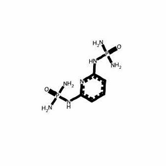 NP(N)(=O)Nc1cccc(NP(N)(N)=O)n1